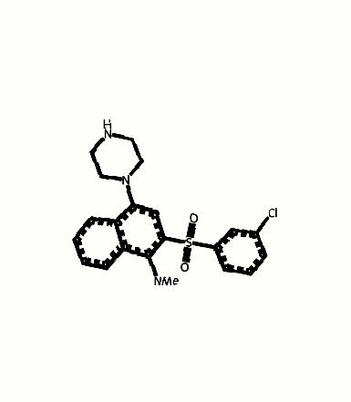 CNc1c(S(=O)(=O)c2cccc(Cl)c2)cc(N2CCNCC2)c2ccccc12